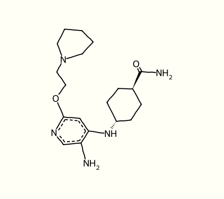 Nc1cnc(OCCN2CCCCC2)cc1N[C@H]1CC[C@H](C(N)=O)CC1